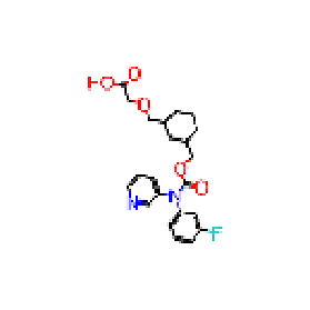 O=C(O)COCC1CCCC(COC(=O)N(c2cccnc2)c2cccc(F)c2)C1